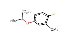 CCCCC(Oc1ccc(F)c(OC)c1)C(=O)OCC